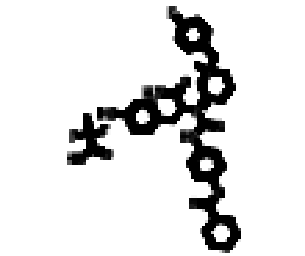 C[N+]1(Cc2ccc(F)cc2)CCC/C(=[N+](\C(=O)Nc2ccc(OC(=O)C3CCCCC3)cc2)[C@@H](Cc2ccc(O)cc2)C(N)=O)C1.O=C(O)C(F)(F)F